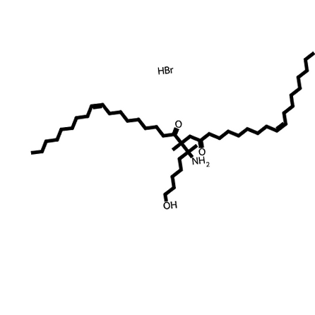 Br.CCCCCCCC/C=C\CCCCCCCC(=O)CC(C)(C(=O)CCCCCCC/C=C\CCCCCCCC)C(C)(N)CCCCCO